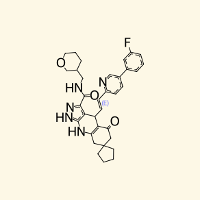 O=C1CC2(CCCC2)CC2=C1C(/C=C/c1ccc(-c3cccc(F)c3)cn1)c1c(C(=O)NCC3CCCOC3)n[nH]c1N2